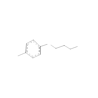 OCCCOc1ccc(Cl)cc1